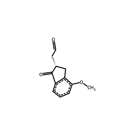 COc1cccc2c1C[C@@H](CC=O)C2=O